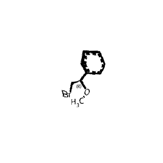 CO[C@@H](CBr)c1ccccc1